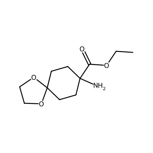 CCOC(=O)C1(N)CCC2(CC1)OCCO2